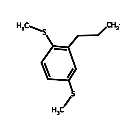 [CH2]CCc1cc(SC)ccc1SC